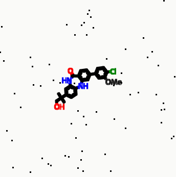 COc1cc(-c2ccc3c(c2)Nc2ccc(C(C)(C)CO)cc2NC3=O)ccc1Cl